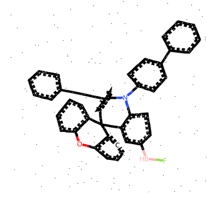 FBc1ccc2c(c1)C1(c3ccccc3Oc3ccccc31)c1cc(-c3ccccc3)ccc1N2c1ccc(-c2ccccc2)cc1